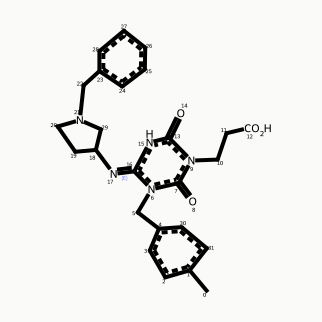 Cc1ccc(Cn2c(=O)n(CCC(=O)O)c(=O)[nH]/c2=N\C2CCN(Cc3ccccc3)C2)cc1